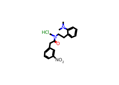 CN(CCc1ccccc1N(C)C)C(=O)Cc1cccc([N+](=O)[O-])c1.Cl